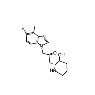 Cc1c(F)ccc2c1ncn2CC(=O)C[C@H]1NCCC[C@@H]1O